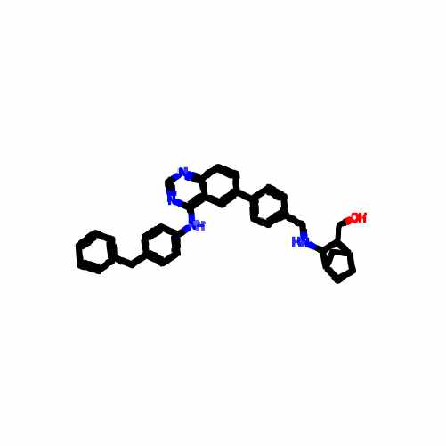 OCC1C2CCC(C2)C1NCc1ccc(-c2ccc3ncnc(Nc4ccc(Cc5ccccc5)cc4)c3c2)cc1